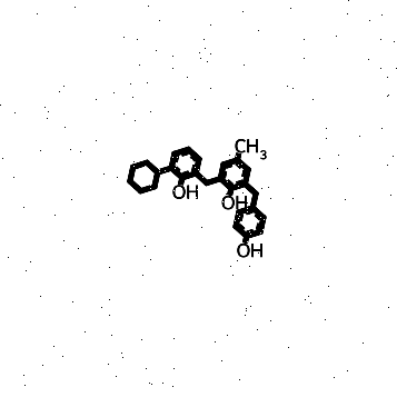 Cc1cc(Cc2ccc(O)cc2)c(O)c(Cc2cccc(C3CCCCC3)c2O)c1